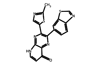 Cc1ncc(-c2nc3[nH]ccc(=O)c3nc2-c2ccc3ncsc3c2)s1